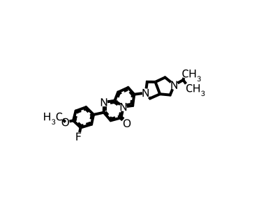 COc1ccc(-c2cc(=O)n3cc(N4CC5CN(C(C)C)CC5C4)ccc3n2)cc1F